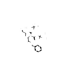 C=CCC[C@@H](C(=O)OCc1ccccc1)N(C(=O)OC(C)(C)C)C(=O)OC(C)(C)C